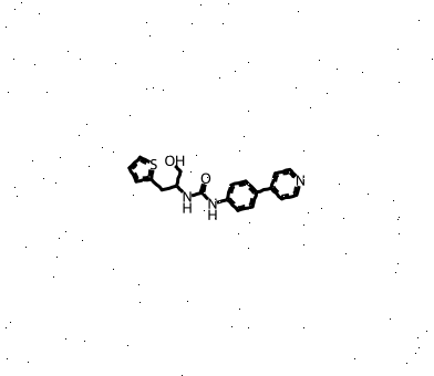 O=C(Nc1ccc(-c2ccncc2)cc1)NC(CO)Cc1cccs1